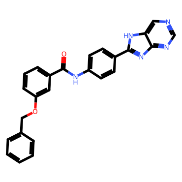 O=C(Nc1ccc(-c2nc3ncncc3[nH]2)cc1)c1cccc(OCc2ccccc2)c1